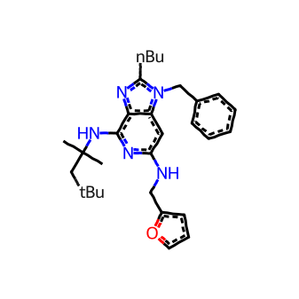 CCCCc1nc2c(NC(C)(C)CC(C)(C)C)nc(NCc3ccco3)cc2n1Cc1ccccc1